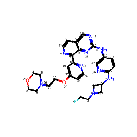 FCCN1CC(Nc2ccc(Nc3ncc4ccnc(-c5cc(OCCN6CCOCC6)ccn5)c4n3)cn2)C1